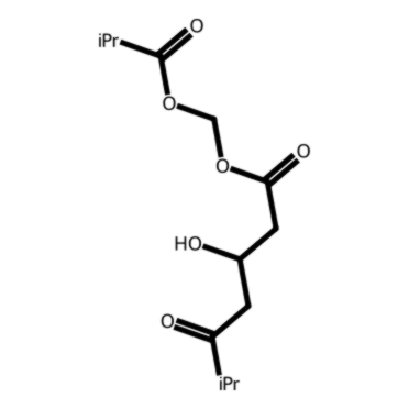 CC(C)C(=O)CC(O)CC(=O)OCOC(=O)C(C)C